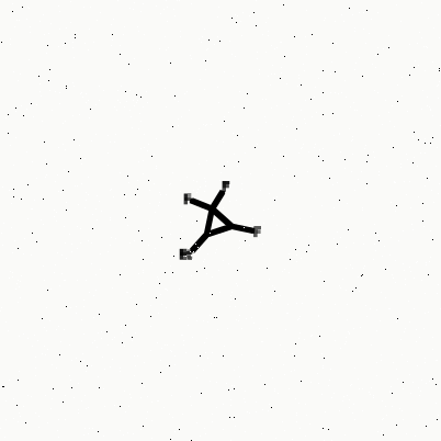 CCC1[C](F)C1(F)F